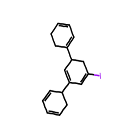 IC1=CC(C2C=CC=CC2)=CC(C2=CC=CCC2)C1